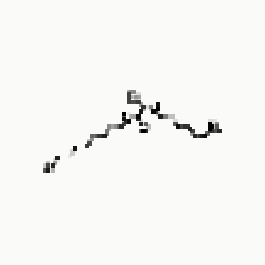 CC/C=C\CCCCOC(CC)C(=O)OCCCCCCCCBr